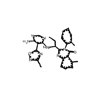 CCC(Nc1ncnc(N)c1-c1nc(C)no1)c1nc2cccc(C)c2c(=O)n1-c1ccccc1C